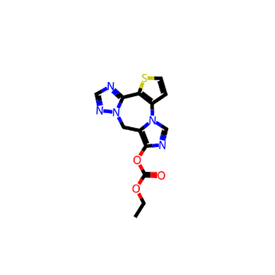 CCOC(=O)Oc1ncn2c1Cn1ncnc1-c1sccc1-2